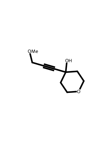 COCC#CC1(O)CCOCC1